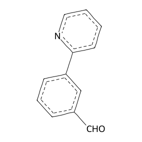 O=Cc1cccc(-c2ccccn2)c1